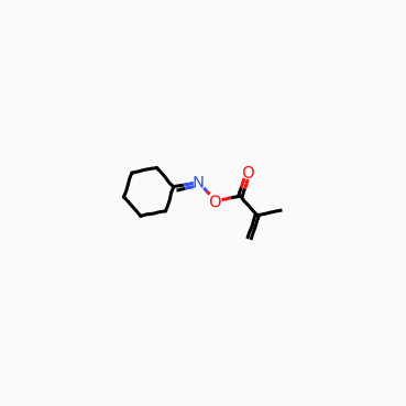 C=C(C)C(=O)ON=C1CCCCC1